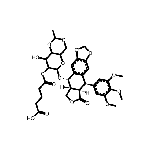 COc1cc([C@@H]2c3cc4c(cc3[C@@H](OC3OC5COC(C)OC5C(O)C3OC(=O)CCCC(=O)O)[C@H]3COC(=O)[C@H]23)OCO4)cc(OC)c1OC